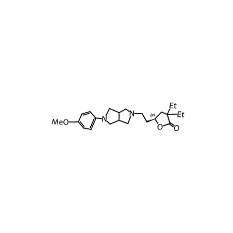 CCC1(CC)C[C@H](CCN2CC3CN(c4ccc(OC)cc4)CC3C2)OC1=O